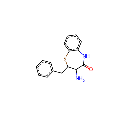 NC1C(=O)Nc2ccccc2SC1Cc1ccccc1